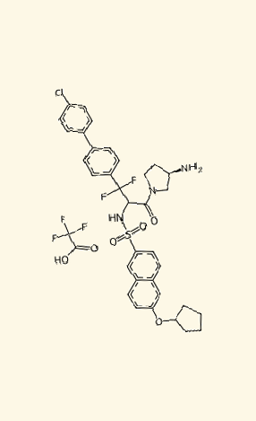 N[C@@H]1CCN(C(=O)C(NS(=O)(=O)c2ccc3cc(OC4CCCC4)ccc3c2)C(F)(F)c2ccc(-c3ccc(Cl)cc3)cc2)C1.O=C(O)C(F)(F)F